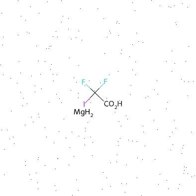 O=C(O)C(F)(F)I.[MgH2]